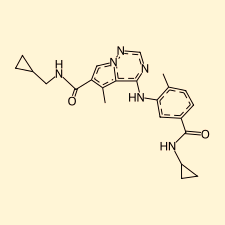 Cc1ccc(C(=O)NC2CC2)cc1Nc1ncnn2cc(C(=O)NCC3CC3)c(C)c12